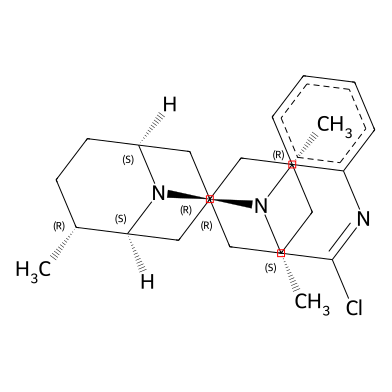 C[C@@H]1C[C@H](C)C[C@@H](N2[C@H]3CC[C@@H](C)[C@@H]2C[C@H](N2CC(Cl)=Nc4ccccc42)C3)C1